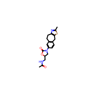 CC(=O)NCC1CN(c2ccc3c(c2)CCc2nc(C)sc2C3)C(=O)O1